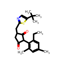 CCc1cc(C)cc(C)c1C1C(=O)CC(Cc2ncc(C(C)(C)C)s2)C1=O